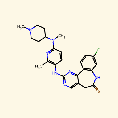 Cc1nc(N(C)C2CCN(C)CC2)ccc1Nc1ncc2c(n1)-c1ccc(Cl)cc1NC(=S)C2